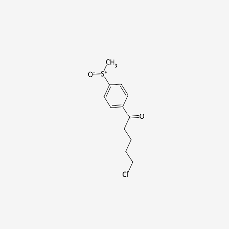 C[S+]([O-])c1ccc(C(=O)CCCCCl)cc1